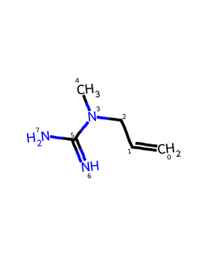 C=CCN(C)C(=N)N